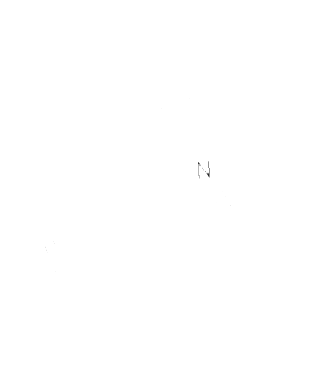 Cc1c(C)n(C(C)(C)C)c2ccccc12